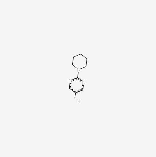 N#Cc1cnc(N2CCCCC2)nc1